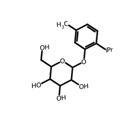 Cc1ccc(C(C)C)c(OC2OC(CO)C(O)C(O)C2O)c1